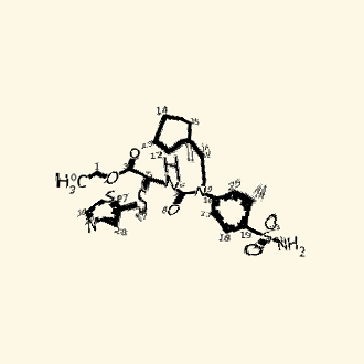 CCOC(=O)C(NC(=O)N(CC1CCCC1)c1ccc(S(N)(=O)=O)cc1)Sc1cncs1